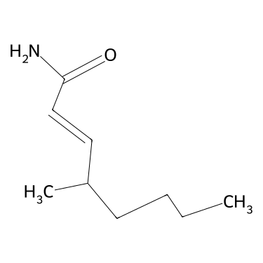 CCCCC(C)C=CC(N)=O